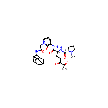 CNC(=O)C(=O)CC[C@H](NC(=O)[C@@H]1CCCN1C(C)=O)C(=O)Nc1cccn(CC(=O)NC2C3CC4CC(C3)CC2C4)c1=O